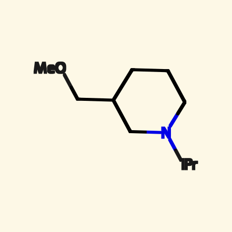 COCC1CCCN(C(C)C)C1